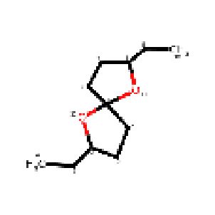 CCC1CCC2(CCC(CC)O2)O1